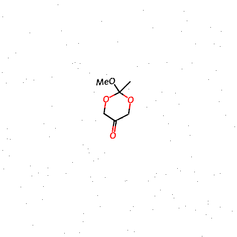 COC1(C)OCC(=O)CO1